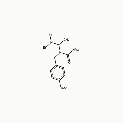 CCN(CC)C(C)N(Cc1ccc(OC)cc1)C(=O)NC